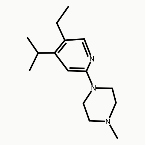 CCc1cnc(N2CCN(C)CC2)cc1C(C)C